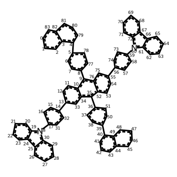 c1ccc2c(-c3ccc(-c4c5ccc(-c6ccc(-n7c8ccccc8c8ccccc87)cc6)cc5c(-c5ccc(-c6cccc7ccccc67)cc5)c5ccc(-c6ccc(-n7c8ccccc8c8ccccc87)cc6)cc45)cc3)cccc2c1